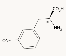 N[C@@H](Cc1cccc(N=O)c1)C(=O)O